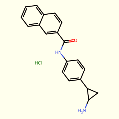 Cl.NC1CC1c1ccc(NC(=O)c2ccc3ccccc3c2)cc1